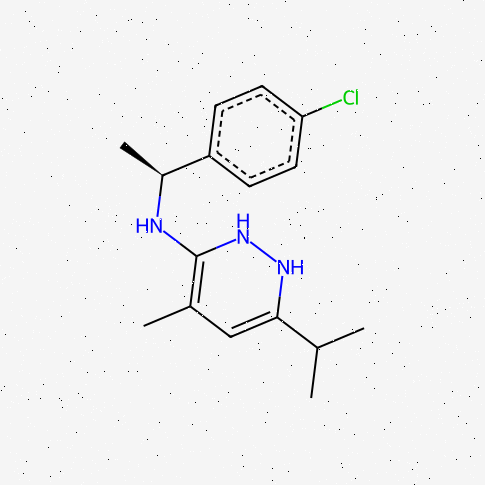 CC1=C(N[C@@H](C)c2ccc(Cl)cc2)NNC(C(C)C)=C1